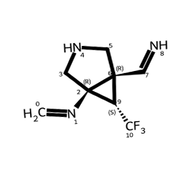 C=N[C@@]12CNC[C@]1(C=N)[C@@H]2C(F)(F)F